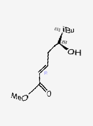 CC[C@H](C)[C@@H](O)C/C=C/C(=O)OC